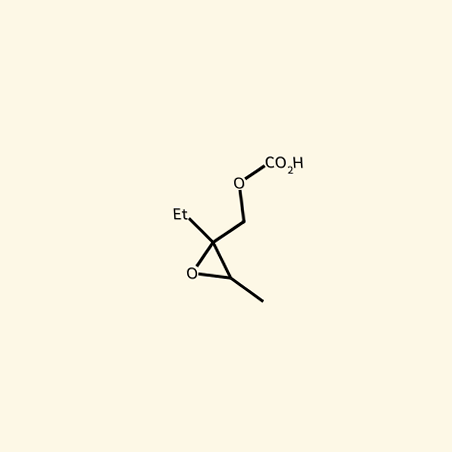 CCC1(COC(=O)O)OC1C